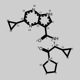 O=C(N[C@@H](C(=O)N1CCCC1)C1CC1)c1c[nH]c2ncc(C3CC3)nc12